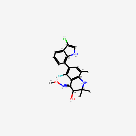 CCO/N=C1\c2c(F)c(-c3cccc4c(Cl)c[nH]c34)cc(C)c2NC(C)(C)C1O